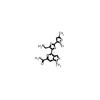 CCn1nc(C)cc1-c1nc(-c2nc(C(N)=O)cc3c2cnn3C)c(CN)o1